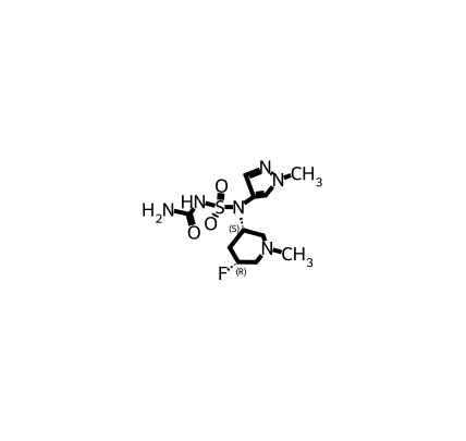 CN1C[C@H](F)C[C@H](N(c2cnn(C)c2)S(=O)(=O)NC(N)=O)C1